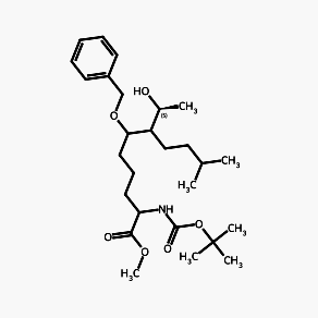 COC(=O)C(CCCC(OCc1ccccc1)C(CCC(C)C)[C@H](C)O)NC(=O)OC(C)(C)C